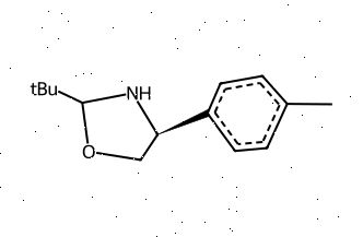 Cc1ccc([C@H]2COC(C(C)(C)C)N2)cc1